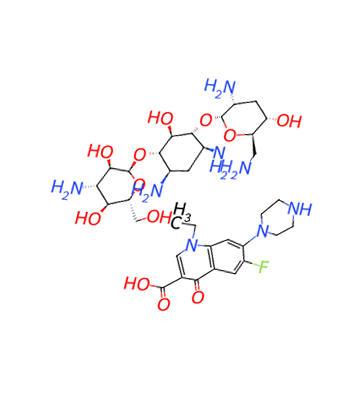 CCn1cc(C(=O)O)c(=O)c2cc(F)c(N3CCNCC3)cc21.NC[C@H]1O[C@H](O[C@H]2[C@H](O)[C@@H](O[C@H]3O[C@H](CO)[C@@H](O)[C@H](N)[C@H]3O)[C@H](N)C[C@@H]2N)[C@H](N)C[C@@H]1O